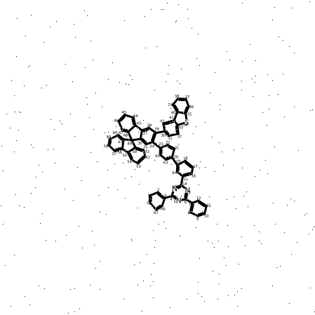 c1ccc(-c2nc(-c3ccccc3)nc(-c3cccc(-c4ccc(-c5cc6c(cc5-c5ccc7sc8ccccc8c7c5)-c5ccccc5C65c6ccccc6-c6ccccc65)cc4)c3)n2)cc1